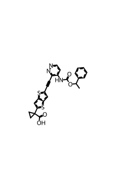 CC(OC(=O)Nc1ccnnc1C#Cc1cc2sc(C3(C(=O)O)CC3)cc2s1)c1ccccc1